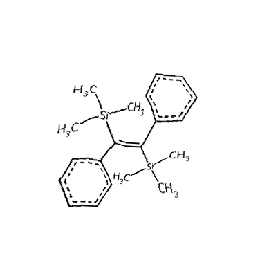 C[Si](C)(C)C(=C(c1ccccc1)[Si](C)(C)C)c1ccccc1